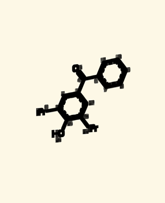 CC(C)c1cc(C(=O)c2ccccc2)cc(C(C)C)c1O